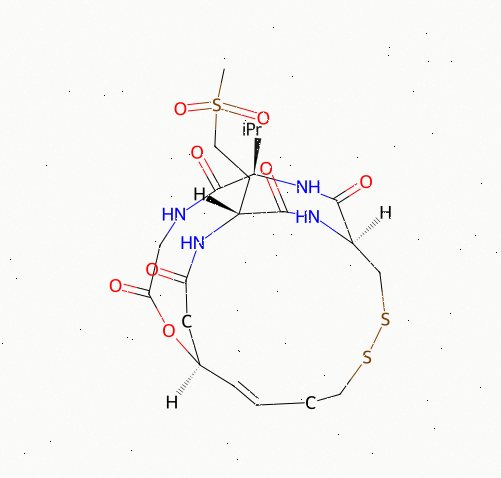 CC(C)[C@H]1NC(=O)[C@H]2CSSCC/C=C/[C@H](CC(=O)N[C@H](CCS(C)(=O)=O)C(=O)N2)OC(=O)CNC1=O